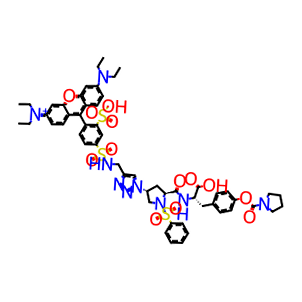 CCN(CC)c1ccc2c(-c3ccc(S(=O)(=O)NCc4cn([C@@H]5C[C@@H](C(=O)N[C@@H](Cc6ccc(OC(=O)N7CCCC7)cc6)C(=O)O)N(S(=O)(=O)c6ccccc6)C5)nn4)cc3S(=O)(=O)O)c3ccc(=[N+](CC)CC)cc-3oc2c1